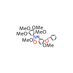 COC[C@H](c1ccc(OC)c(OCc2ccccc2)c1)N(C(=O)OC)c1cc(OC)c(OC)c(OC)c1